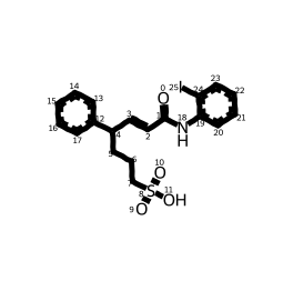 O=C(C=CC(CCCS(=O)(=O)O)c1ccccc1)Nc1ccccc1I